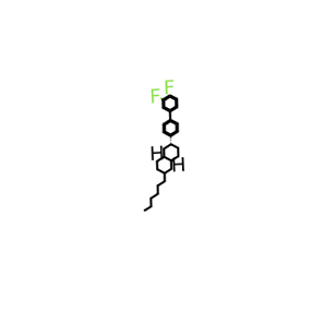 CCCCCCC1CC[C@@H]2C[C@H](c3ccc(-c4ccc(F)c(F)c4)cc3)CC[C@@H]2C1